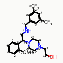 COc1ccccc1C(CNCc1cc(C(F)(F)F)cc(C(F)(F)F)c1)N1CCN(CCO)CC1